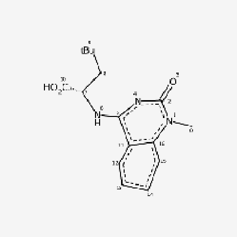 Cn1c(=O)nc(N[C@@H](CC(C)(C)C)C(=O)O)c2ccccc21